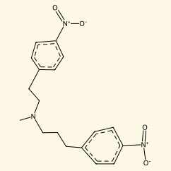 CN(CCCc1ccc([N+](=O)[O-])cc1)CCc1ccc([N+](=O)[O-])cc1